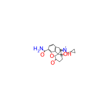 CN(CC1CC1)[C@]12Cc3ccc(C(N)=O)c4c3C13C(O4)C(=O)CC[C@]32O